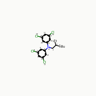 CCCCC(CC)CN(c1cc(Cl)cc(Cl)c1)c1cc(Cl)cc(Cl)c1